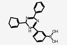 OB(O)c1cccc(C2=NC(c3ccccc3)=NC(C3=CCCC=C3)N2)c1